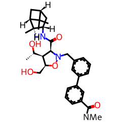 CNC(=O)c1cccc(-c2cccc(CN3O[C@@H](CO)[C@@H]([C@H](C)O)[C@H]3C(=O)N[C@H]3C[C@H]4C[C@@H]([C@@H]3C)C4(C)C)c2)c1